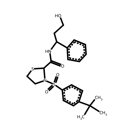 CC(C)(C)c1ccc(S(=O)(=O)N2CCSC2C(=O)NC(CCO)c2ccccc2)cc1